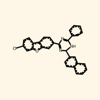 Clc1ccc2c(c1)oc1cc(C3=NC(c4ccc5ccccc5c4)NC(c4ccccc4)=N3)ccc12